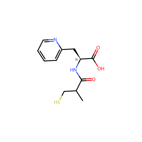 CC(CS)C(=O)N[C@@H](Cc1ccccn1)C(=O)O